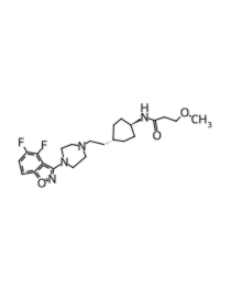 COCCC(=O)N[C@H]1CC[C@H](CCN2CCN(c3noc4ccc(F)c(F)c34)CC2)CC1